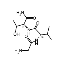 CC(C)[C@H](NC(=O)CN)C(=O)N[C@H](C(N)=O)C(C)O